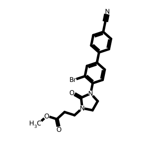 COC(=O)CCN1CCN(c2ccc(-c3ccc(C#N)cc3)cc2Br)C1=O